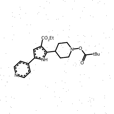 CCOC(=O)c1cc(-c2ccncc2)[nH]c1C1CCN(OC(=O)C(C)(C)C)CC1